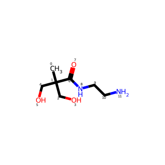 CC(CO)(CO)C(=O)NCCN